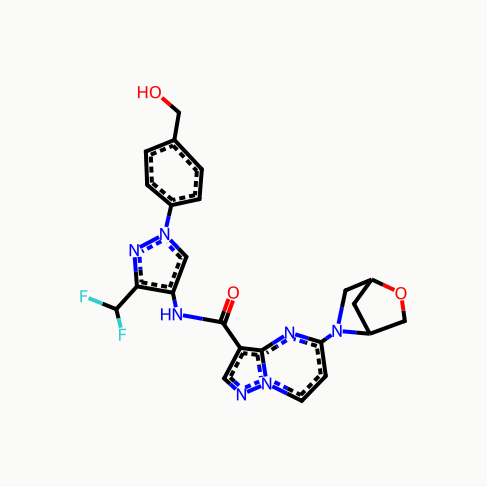 O=C(Nc1cn(-c2ccc(CO)cc2)nc1C(F)F)c1cnn2ccc(N3CC4CC3CO4)nc12